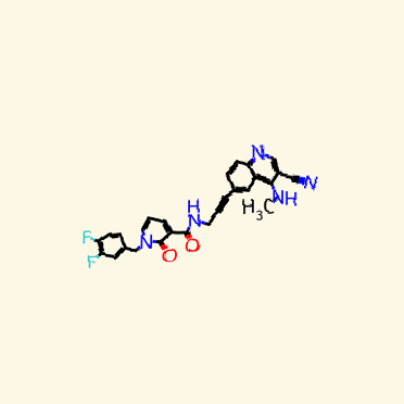 CNc1c(C#N)cnc2ccc(C#CCNC(=O)c3cccn(Cc4ccc(F)c(F)c4)c3=O)cc12